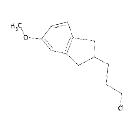 COc1ccc2c(c1)CC(CCCCl)C2